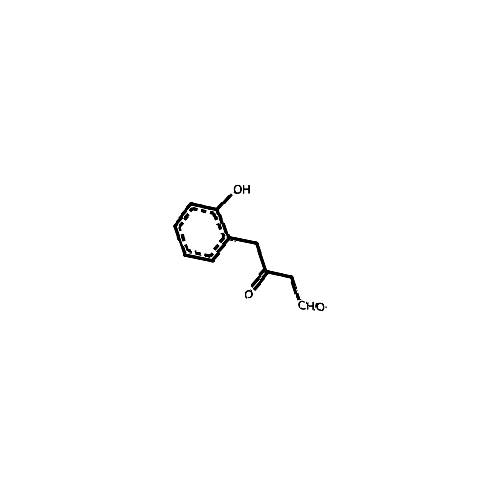 O=[C]CC(=O)Cc1ccccc1O